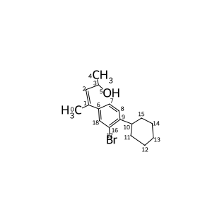 C/C(=C/C(C)O)c1ccc(C2CCCCC2)c(Br)c1